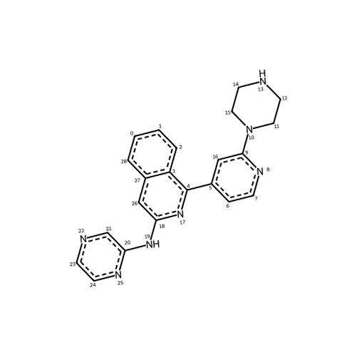 c1ccc2c(-c3ccnc(N4CCNCC4)c3)nc(Nc3cnccn3)cc2c1